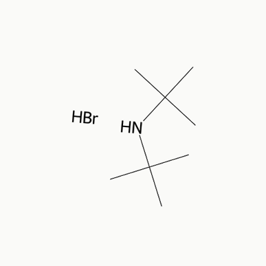 Br.CC(C)(C)NC(C)(C)C